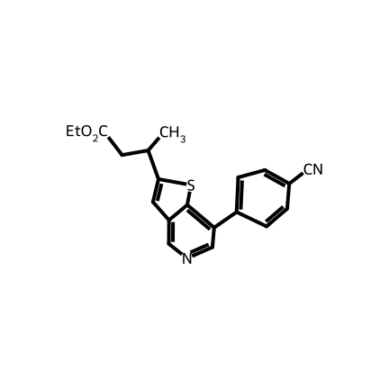 CCOC(=O)CC(C)c1cc2cncc(-c3ccc(C#N)cc3)c2s1